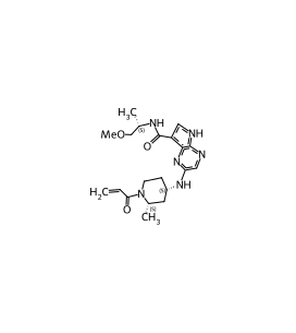 C=CC(=O)N1CC[C@H](Nc2cnc3[nH]cc(C(=O)N[C@@H](C)COC)c3n2)C[C@@H]1C